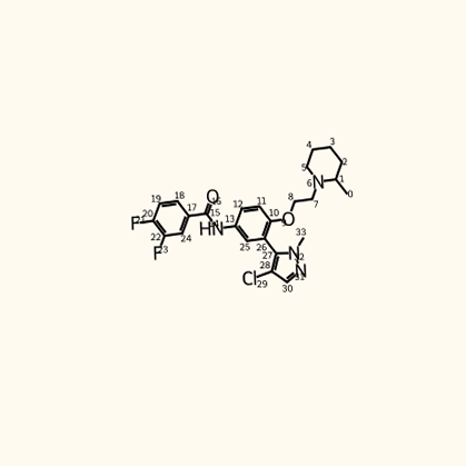 CC1CCCCN1CCOc1ccc(NC(=O)c2ccc(F)c(F)c2)cc1-c1c(Cl)cnn1C